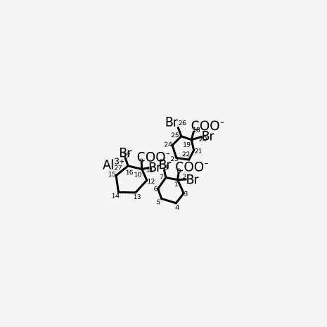 O=C([O-])C1(Br)CCCCC1Br.O=C([O-])C1(Br)CCCCC1Br.O=C([O-])C1(Br)CCCCC1Br.[Al+3]